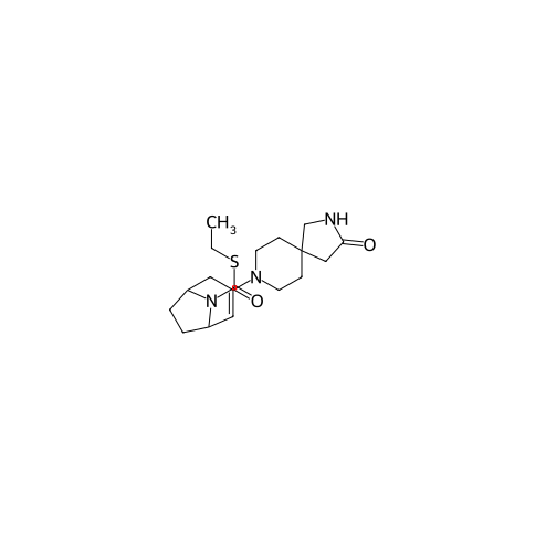 CCSC(=O)N1C2C=C(N3CCC4(CC3)CNC(=O)C4)CC1CC2